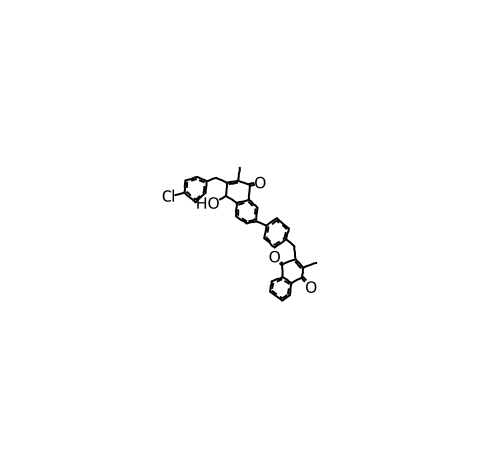 CC1=C(Cc2ccc(-c3ccc4c(c3)C(=O)C(C)=C(Cc3ccc(Cl)cc3)C4O)cc2)C(=O)c2ccccc2C1=O